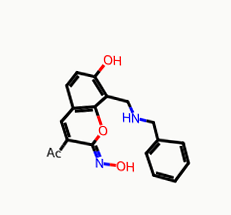 CC(=O)c1cc2ccc(O)c(CNCc3ccccc3)c2oc1=NO